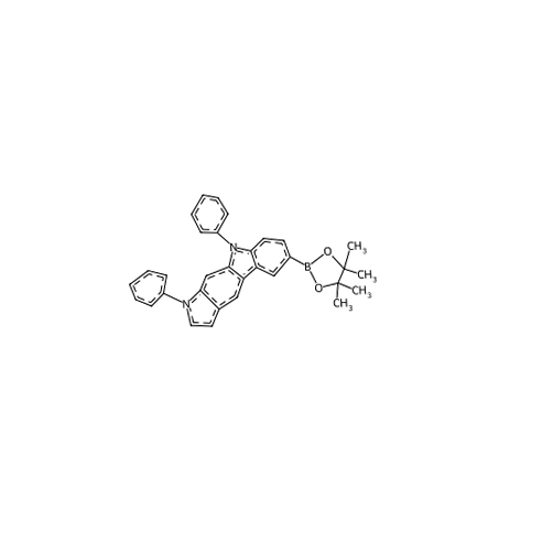 CC1(C)OB(c2ccc3c(c2)c2cc4ccn(-c5ccccc5)c4cc2n3-c2ccccc2)OC1(C)C